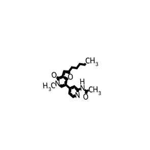 CCCCCc1cc2c(=O)n(C)cc(-c3ccnc(NC(C)=O)c3)c2o1